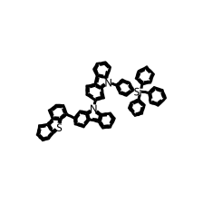 c1ccc([Si](c2ccccc2)(c2ccccc2)c2ccc(-n3c4ccccc4c4ccc(-n5c6ccccc6c6ccc(-c7cccc8c7sc7ccccc78)cc65)cc43)cc2)cc1